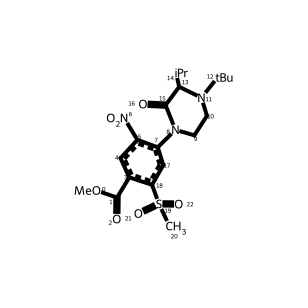 COC(=O)c1cc([N+](=O)[O-])c(N2CCN(C(C)(C)C)C(C(C)C)C2=O)cc1S(C)(=O)=O